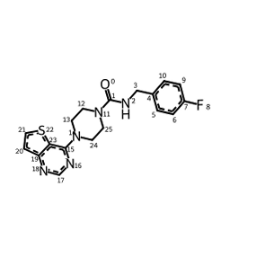 O=C(NCc1ccc(F)cc1)N1CCN(c2ncnc3ccsc23)CC1